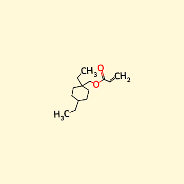 C=CC(=O)OCC1(CC)CCC(CC)CC1